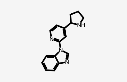 c1ccc2c(c1)ncn2-c1cc(C2CCCN2)ccn1